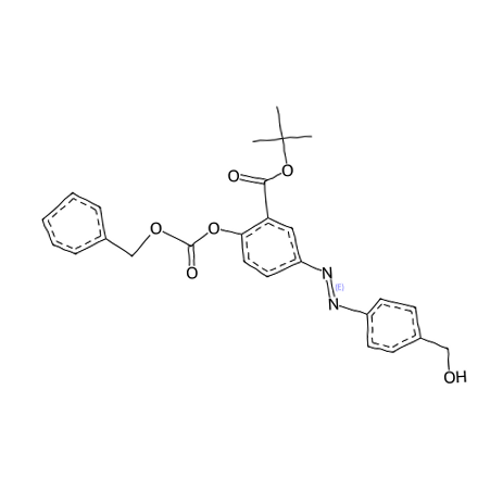 CC(C)(C)OC(=O)c1cc(/N=N/c2ccc(CO)cc2)ccc1OC(=O)OCc1ccccc1